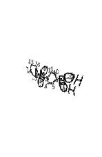 O=S(=O)(c1ccc(B(O)O)cc1)N1CCCC1